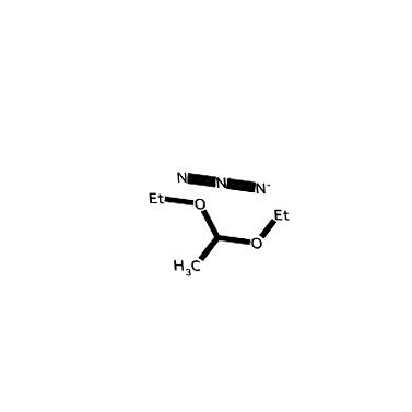 CCOC(C)OCC.[N-]=[N+]=[N-]